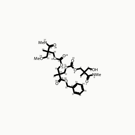 CNC(=O)C(C)(CO)COC(=O)OCC(C)(COC(=O)OCC(C)(COC)C(=O)NC)C(=O)OCc1ccccc1